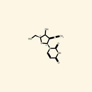 C=C=C1C(O)[C@H](CO)O[C@@H]1n1ccc(=O)[nH]c1=O